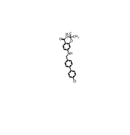 CC1(C)OC(=O)c2ccc(NCc3ccc(-c4ccc(Cl)cc4)cc3)cc2O1